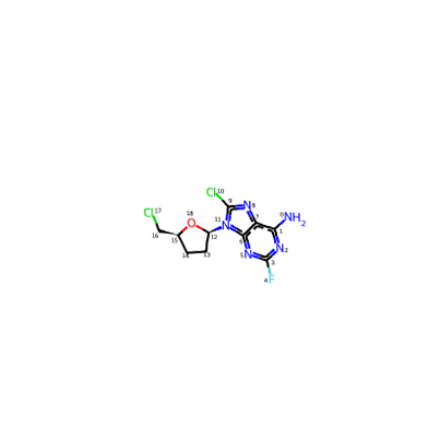 Nc1nc(F)nc2c1nc(Cl)n2[C@H]1CC[C@@H](CCl)O1